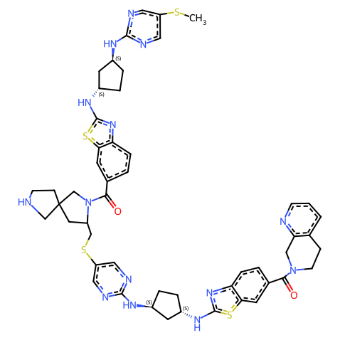 CSc1cnc(N[C@H]2CC[C@H](Nc3nc4ccc(C(=O)N5CC6(CCNC6)CC5CSc5cnc(N[C@H]6CC[C@H](Nc7nc8ccc(C(=O)N9CCc%10cccnc%10C9)cc8s7)C6)nc5)cc4s3)C2)nc1